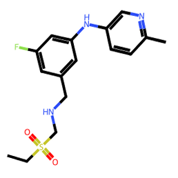 CCS(=O)(=O)CNCc1cc(F)cc(Nc2ccc(C)nc2)c1